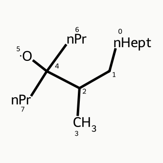 CCCCCCCCC(C)C([O])(CCC)CCC